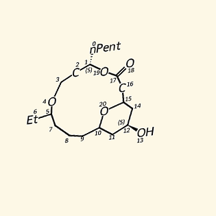 CCCCC[C@H]1CCOC(CC)CCCC2C[C@H](O)CC(CC(=O)O1)O2